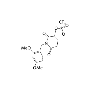 COc1ccc(CN2C(=O)CCC(OS(=O)(=O)C(F)(F)F)C2=O)c(OC)c1